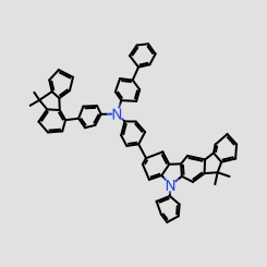 CC1(C)c2ccccc2-c2cc3c4cc(-c5ccc(N(c6ccc(-c7ccccc7)cc6)c6ccc(-c7cccc8c7-c7ccccc7C8(C)C)cc6)cc5)ccc4n(-c4ccccc4)c3cc21